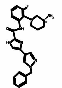 N[C@@H]1CCCN(c2c(F)cccc2NC(=O)c2nc(-c3cnn(Cc4cccnc4)c3)c[nH]2)C1